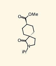 COC(=O)[C@H]1CC[C@@]2(CCN(C(C)C)C2=O)CC1